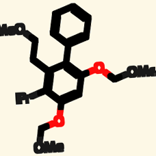 COCCc1c(-c2ccccc2)c(OCOC)cc(OCOC)c1C(C)C